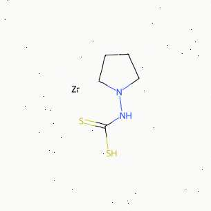 S=C(S)NN1CCCC1.[Zr]